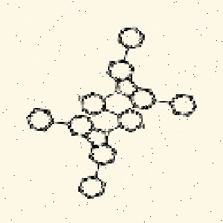 c1ccc(-c2ccc3c(c2)c2cc(-c4ccccc4)ccc2n3-c2cnccc2-c2ccncc2-n2c3ccc(-c4ccccc4)cc3c3cc(-c4ccccc4)ccc32)cc1